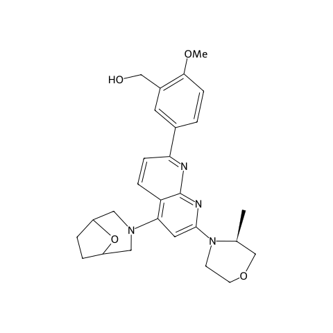 COc1ccc(-c2ccc3c(N4CC5CCC(C4)O5)cc(N4CCOC[C@@H]4C)nc3n2)cc1CO